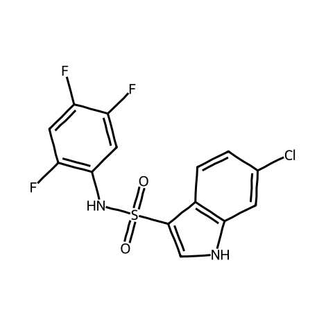 O=S(=O)(Nc1cc(F)c(F)cc1F)c1c[nH]c2cc(Cl)ccc12